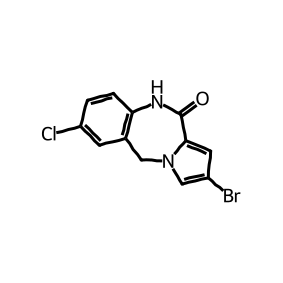 O=C1Nc2ccc(Cl)cc2Cn2cc(Br)cc21